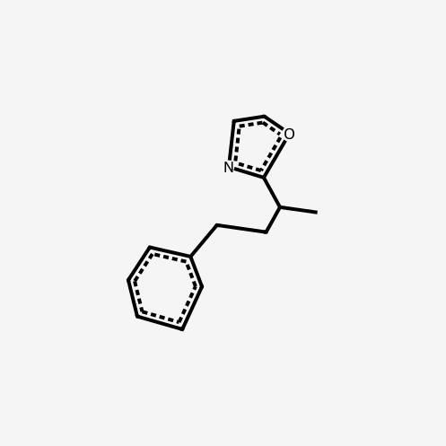 CC(CCc1ccccc1)c1ncco1